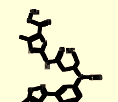 Cc1nc(-c2cccc(N(C=O)C(CC#N)CC(=O)Nc3nc(C)c(C(=O)OC(C)(C)C)s3)c2)no1